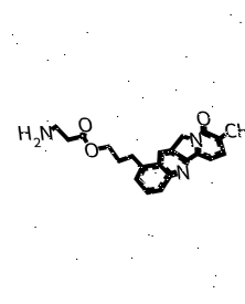 Cc1ccc2n(c1=O)Cc1cc3c(CCCOC(=O)CCN)cccc3nc1-2